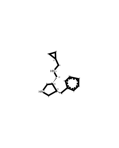 c1ccc(C[C@@H]2CNC[C@@H]2CNCC2CC2)cc1